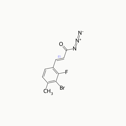 Cc1ccc(/C=C/C(=O)N=[N+]=[N-])c(F)c1Br